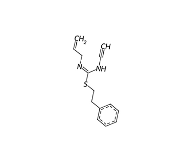 C#CN/C(=N\CC=C)SCCc1ccccc1